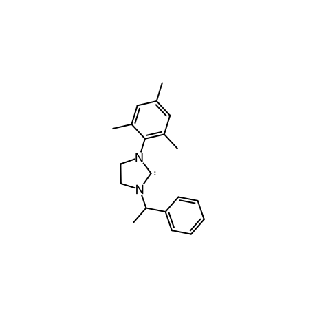 Cc1cc(C)c(N2[C]N(C(C)c3ccccc3)CC2)c(C)c1